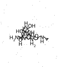 CN[C@@H](C)[C@@H](O)[C@H](OCCO)O[C@@H]1[C@@H](O)[C@H](O[C@@H]2CCC=C(CNCC3CC3)O2)[C@@H](N)C[C@H]1NC(=O)[C@H](O)CN